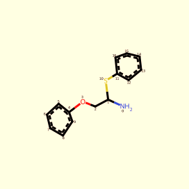 NC(COc1ccccc1)Sc1ccccc1